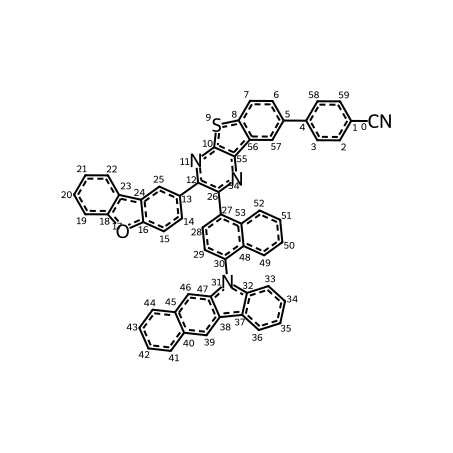 N#Cc1ccc(-c2ccc3sc4nc(-c5ccc6oc7ccccc7c6c5)c(-c5ccc(-n6c7ccccc7c7cc8ccccc8cc76)c6ccccc56)nc4c3c2)cc1